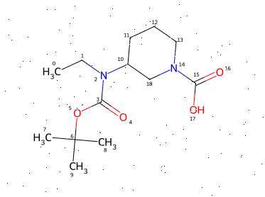 CCN(C(=O)OC(C)(C)C)C1CCCN(C(=O)O)C1